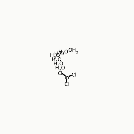 O.O.O.O.O.O.O.[Cl][In]([Cl])[Cl]